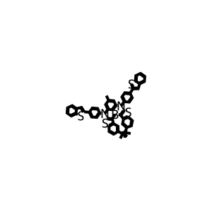 Cc1cc2c3c(c1)N(c1ccc(-c4cc5ccccc5s4)cc1)c1sc4ccc(C(C)(C)C)cc4c1B3c1c(sc3ccc(C(C)(C)C)cc13)N2c1ccc(-c2cc3ccccc3s2)cc1